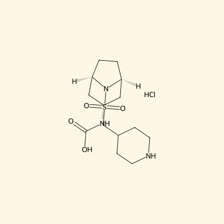 Cl.O=C(O)N[C@@H]1C[C@H]2CC[C@@H](C1)N2S(=O)(=O)CC1CCNCC1